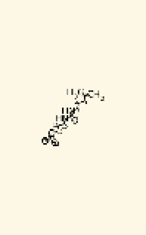 CC(C)CCCNC(=O)NCCCO[N+](=O)[O-]